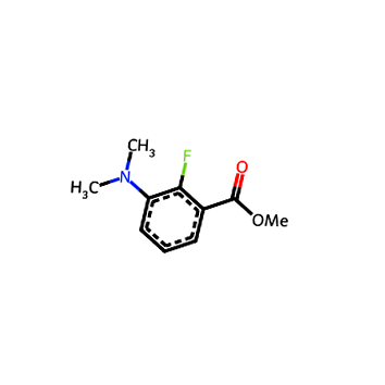 COC(=O)c1cccc(N(C)C)c1F